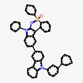 O=S1(c2ccccc2)=Nc2c(c3cc(-c4ccc5c(c4)c4ccccc4n5-c4cccc(-c5ccccc5)c4)ccc3n2-c2ccccc2)-c2ccccc21